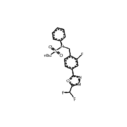 CCCCS(=O)(=O)N(Cc1ccc(-c2nnc(C(F)F)o2)cc1F)c1ccccc1